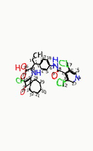 CCC(c1ccc(NC(=O)c2c(Cl)cncc2Cl)cc1)[C@H](NC1=C(Cl)C(=O)C12CCCCCC2)C(=O)O